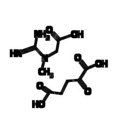 CN(CC(=O)O)C(=N)N.O=C(O)CCC(=O)C(=O)O